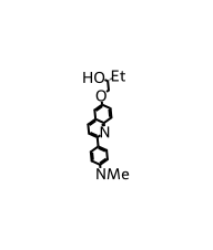 CC[C@@H](O)COc1ccc2nc(-c3ccc(NC)cc3)ccc2c1